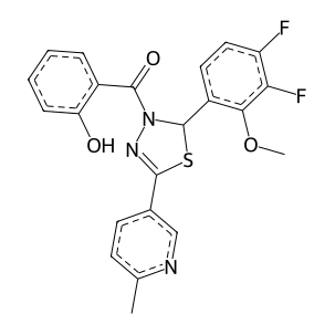 COc1c(C2SC(c3ccc(C)nc3)=NN2C(=O)c2ccccc2O)ccc(F)c1F